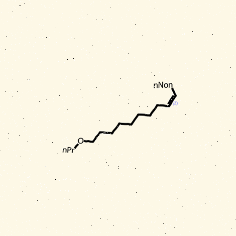 CCCCCCCCC/C=C\CCCCCCCCOCCC